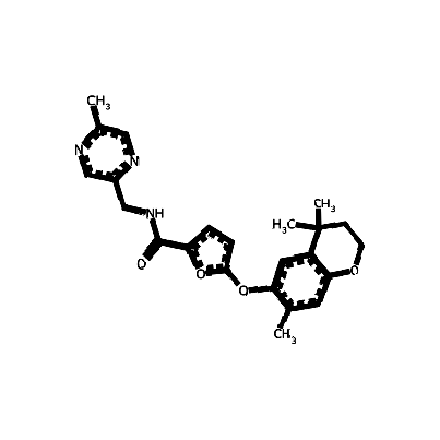 Cc1cnc(CNC(=O)c2ccc(Oc3cc4c(cc3C)OCCC4(C)C)o2)cn1